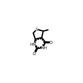 CC1SCc2[nH]c(=O)[nH]c(=O)c21